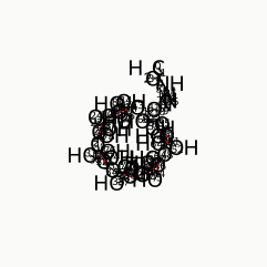 C=CC(=O)NCc1cn(CC2OC3OC4C(CO)OC(OC5C(CO)OC(OC6C(CO)OC(OC7C(CO)OC(OC8C(CO)OC(OC9C(CO)OC(OC2C(O)C3O)C(O)C9O)C(O)C8O)C(O)C7O)C(O)C6O)C(O)C5O)C(O)C4O)nn1